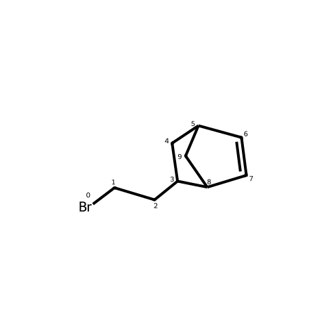 BrCCC1CC2C=CC1C2